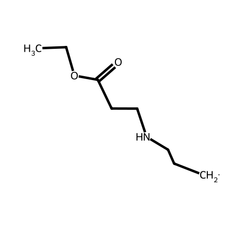 [CH2]CCNCCC(=O)OCC